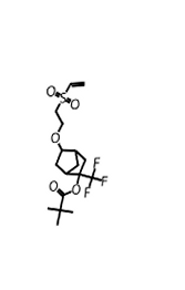 C=CS(=O)(=O)CCOC1CC2CC1CC2(OC(=O)C(C)(C)C)C(F)(F)F